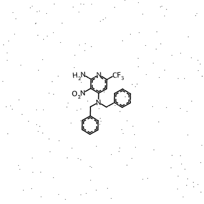 Nc1nc(C(F)(F)F)cc(N(Cc2ccccc2)Cc2ccccc2)c1[N+](=O)[O-]